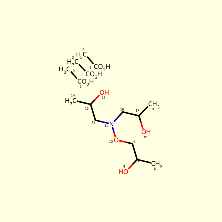 CC(=O)O.CC(=O)O.CC(=O)O.CC(O)CON(CC(C)O)CC(C)O